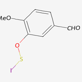 COc1ccc(C=O)cc1OSI